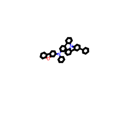 c1ccc(-c2ccc3c(c2)c2ccccc2n3-c2ccccc2-c2ccc(N(c3ccccc3)c3ccc4c(c3)oc3ccccc34)cc2)cc1